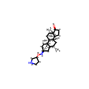 C[C@H]1C[C@@H]2[C@H](CC[C@]3(C)C(=O)CC[C@@H]23)[C@@]2(C)CCC(=NOC3CCNC3)CC12